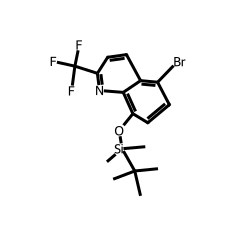 CC(C)(C)[Si](C)(C)Oc1ccc(Br)c2ccc(C(F)(F)F)nc12